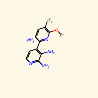 CCOc1nc(-c2ccnc(N)c2N)ccc1C(F)(F)F.N